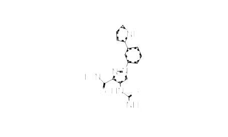 NC(=O)Nc1cn(-c2cccc(-c3ccc[nH]3)c2)nc1C(N)=O